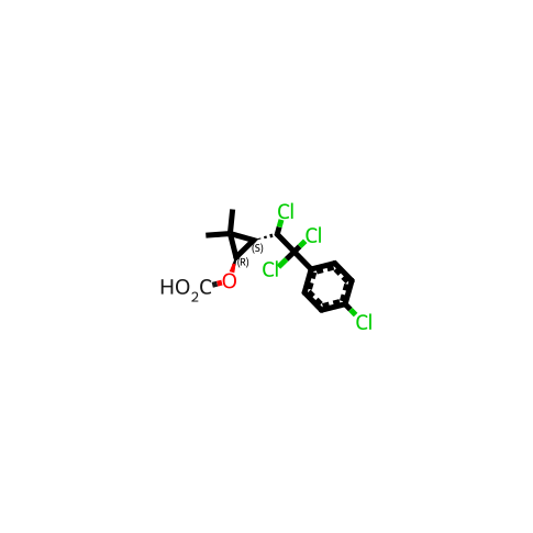 CC1(C)[C@H](OC(=O)O)[C@H]1C(Cl)C(Cl)(Cl)c1ccc(Cl)cc1